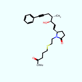 COC(=O)CCCSCCN1C(=O)CC[C@@H]1C=C[C@@H](O)[C@@H](C)CC#Cc1ccccc1